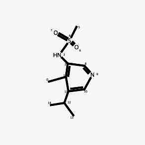 Cc1c(NS(C)(=O)=O)cncc1C(C)C